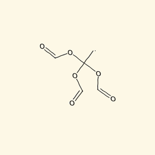 [CH2]C(OC=O)(OC=O)OC=O